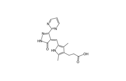 Cc1[nH]c(C=C2C(=O)NN=C2c2ncccn2)c(C)c1CCC(=O)O